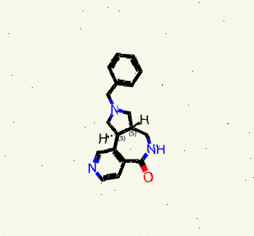 O=C1NC[C@H]2CN(Cc3ccccc3)C[C@@H]2c2cnccc21